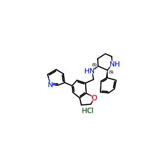 Cl.c1ccc([C@@H]2NCCC[C@@H]2NCc2cc(-c3cccnc3)cc3c2OCC3)cc1